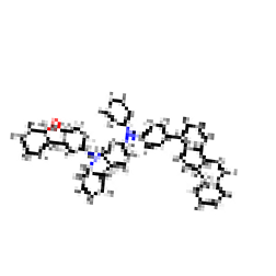 c1ccc(N(c2ccc(-c3cccc4c3ccc3c5ccccc5ccc43)cc2)c2ccc3c4ccccc4n(-c4ccc5oc6ccccc6c5c4)c3c2)cc1